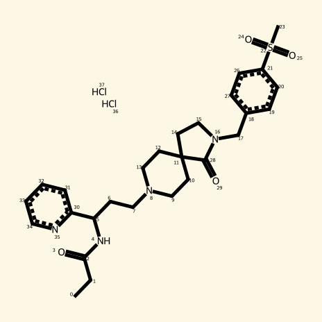 CCC(=O)NC(CCN1CCC2(CC1)CCN(Cc1ccc(S(C)(=O)=O)cc1)C2=O)c1ccccn1.Cl.Cl